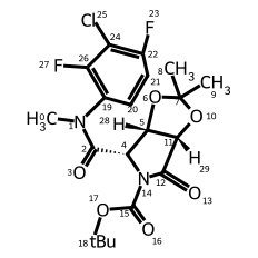 CN(C(=O)[C@@H]1[C@@H]2OC(C)(C)O[C@@H]2C(=O)N1C(=O)OC(C)(C)C)c1ccc(F)c(Cl)c1F